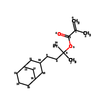 C=C(C)C(=O)OC(C)(CCC1CC2CCCC(C2)C1)C(C)C